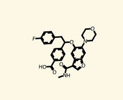 CNC(=O)c1coc2cc(N3CCOCC3)c(OC(Cc3ccc(F)cc3)c3ccc(C(=O)O)cc3)cc12